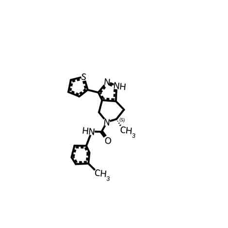 Cc1cccc(NC(=O)N2Cc3c(-c4cccs4)n[nH]c3C[C@@H]2C)c1